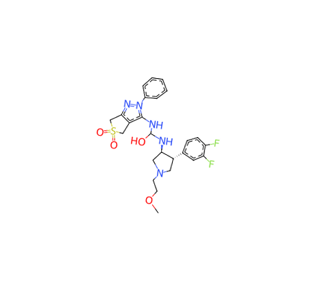 COCCN1C[C@@H](NC(O)Nc2c3c(nn2-c2ccccc2)CS(=O)(=O)C3)[C@H](c2ccc(F)c(F)c2)C1